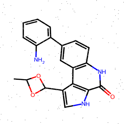 CC1OC(c2c[nH]c3c(=O)[nH]c4ccc(-c5ccccc5N)cc4c23)O1